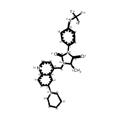 CC1C(=O)N(c2ccc(SC(F)(F)F)cc2)C(=O)N1Cc1ccnc2ccc(N3CCCCC3)cc12